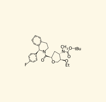 CCO[C@H]1CO[C@@H](C(=O)N2CCc3ccccc3[C@@H]2c2ccc(F)cc2)C[C@@H]1N(C)C(=O)OC(C)(C)C